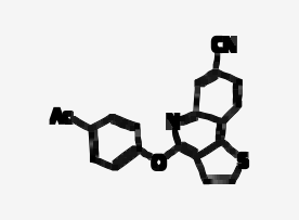 CC(=O)c1ccc(Oc2nc3cc(C#N)ccc3c3sccc23)cc1